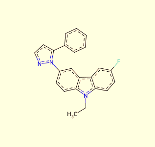 CCn1c2ccc(F)cc2c2cc(-n3nccc3-c3ccccc3)ccc21